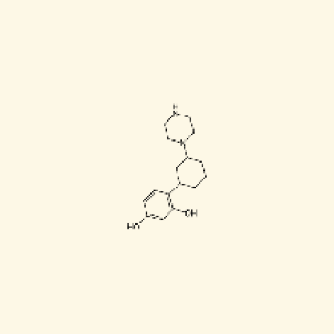 Oc1ccc(C2CCCC(N3CCNCC3)C2)c(O)c1